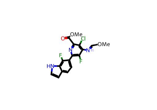 CO/C=N/c1c(F)c(-c2ccc3cc[nH]c3c2F)nc(C(=O)OC)c1Cl